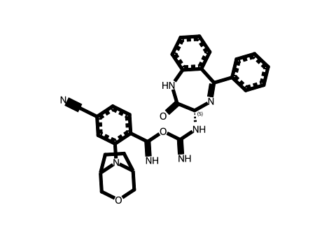 N#Cc1ccc(C(=N)OC(=N)N[C@H]2N=C(c3ccccc3)c3ccccc3NC2=O)c(N2C3CCC2COC3)c1